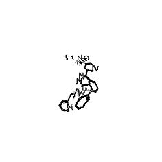 NS(=O)(=O)c1cncc(-c2nnc(NCc3ccccn3)c3c(-c4ccccc4)cccc23)c1